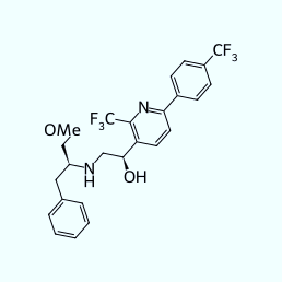 COC[C@H](Cc1ccccc1)NC[C@H](O)c1ccc(-c2ccc(C(F)(F)F)cc2)nc1C(F)(F)F